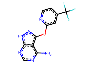 Nc1ncnc2[nH]nc(Oc3cc(C(F)(F)F)ccn3)c12